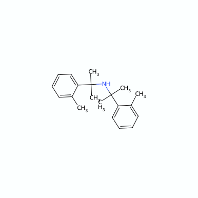 Cc1ccccc1C(C)(C)NC(C)(C)c1ccccc1C